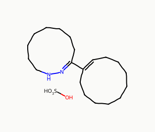 C1=C(C2=NNCCCCCCCC2)CCCCCCCCC1.O=S(=O)(O)O